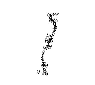 COC(=O)c1ccc(C(=O)NS(=O)(=O)c2ccc(OCCOCCOCCNC(=O)NCCCCNC(=O)NCCOCCOCCOc3ccc(S(=O)(=O)NC(=O)c4ccc(C(=O)OC)cc4)cc3)cc2)cc1